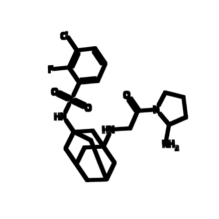 NC1CCCN1C(=O)CNC12CC3CC(C1)CC(NS(=O)(=O)c1cccc(Cl)c1F)(C3)C2